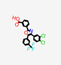 O=C(O)c1cccc(-c2nc(-c3ccc(Cl)c(Cl)c3)c(-c3cccc(C(F)(F)F)c3)o2)c1